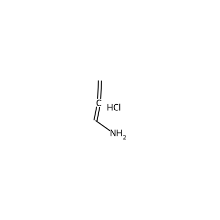 C=C=CN.Cl